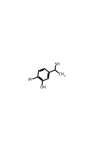 CC(C)c1ccc(C(C)S)cc1O